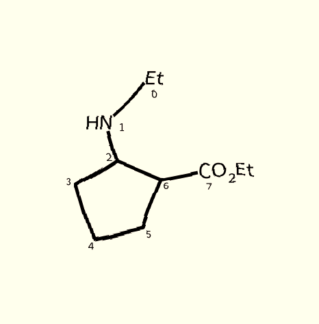 CCNC1CCCC1C(=O)OCC